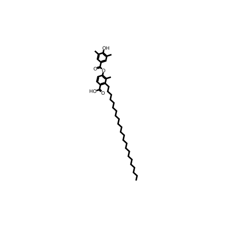 CCCCCCCCCCCCCCCCCCCCCCCCc1c(C(=O)O)ccc(OC(=O)c2cc(C)c(O)c(C)c2)c1C